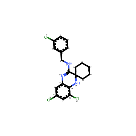 Clc1cccc(CNC2=Nc3cc(Cl)cc(Cl)c3NC23CCCCC3)c1